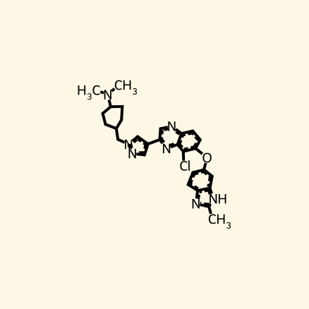 Cc1nc2ccc(Oc3ccc4ncc(-c5cnn(CC6CCC(N(C)C)CC6)c5)nc4c3Cl)cc2[nH]1